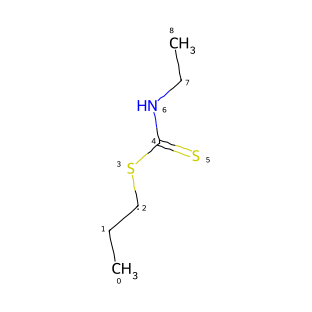 CC[CH]SC(=S)NCC